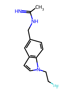 CC(=N)NCc1ccc2c(ccn2CC[18F])c1